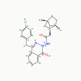 O=C(C[C@H]1C[C@@H]2CC[C@H]1C2)Nn1nc(Cc2ccc(Cl)cc2)c2ccccc2c1=O